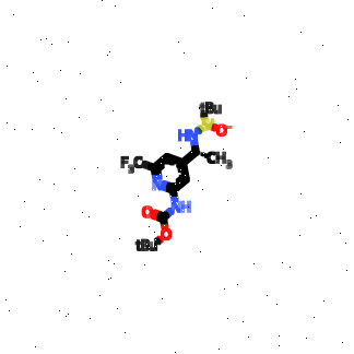 C[C@@H](N[S+]([O-])C(C)(C)C)c1cc(NC(=O)OC(C)(C)C)nc(C(F)(F)F)c1